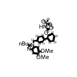 CCCCc1nc2cc(OC)c(OC)cc2n1Cc1ccc(-c2ccccc2OC(=O)NS(C)(=O)=O)cc1